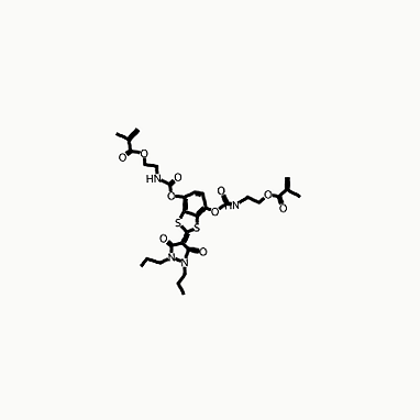 C=C(C)C(=O)OCCNC(=O)Oc1ccc(OC(=O)NCCOC(=O)C(=C)C)c2c1SC(=C1C(=O)N(CCC)N(CCC)C1=O)S2